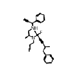 C#CC(NCC(C)N(CCF)C(C)(F)C#CC(C)Cc1ccccc1)c1ccccc1